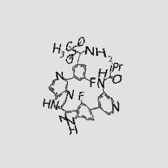 CC(C)C(=O)Nc1cncc(-c2ccc3[nH]nc(-c4nc5c(-c6cc(F)cc(C(N)S(C)(=O)=O)c6)nccc5[nH]4)c3c2F)c1